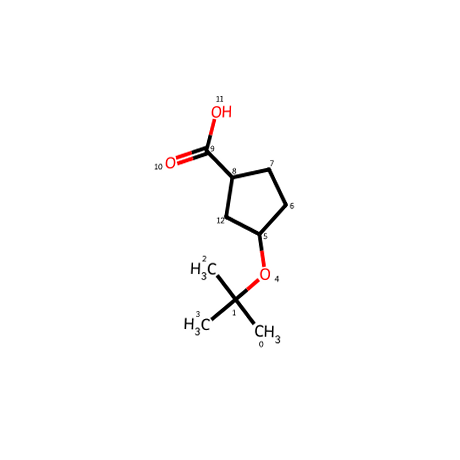 CC(C)(C)OC1CCC(C(=O)O)C1